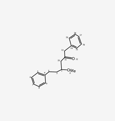 COC(CCc1ccccc1)CC(=O)Cc1ccccc1